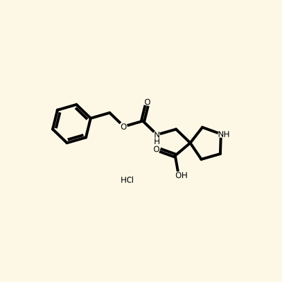 Cl.O=C(NCC1(C(=O)O)CCNC1)OCc1ccccc1